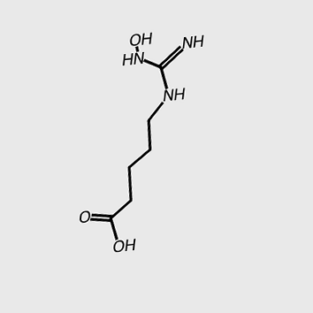 N=C(NO)NCCCCC(=O)O